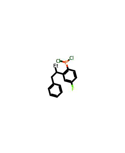 CCC(Cc1ccccc1)c1cc(F)ccc1P(Cl)Cl